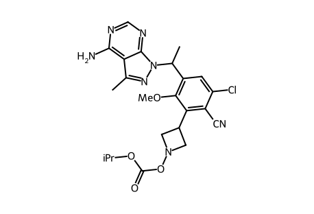 COc1c(C(C)n2nc(C)c3c(N)ncnc32)cc(Cl)c(C#N)c1C1CN(OC(=O)OC(C)C)C1